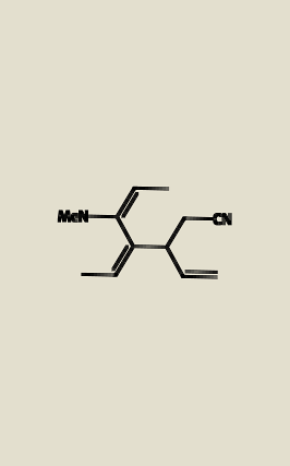 C=CC(CC#N)C(=C/C)/C(=C\C)NC